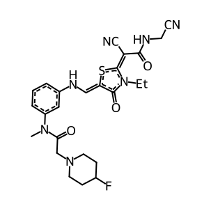 CCn1c(=C(C#N)C(=O)NCC#N)sc(=CNc2cccc(N(C)C(=O)CN3CCC(F)CC3)c2)c1=O